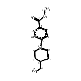 COC(=O)c1ccc(N2CCC(CO)CC2)nn1